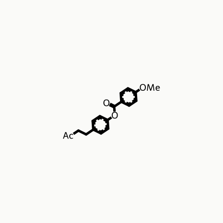 COc1ccc(C(=O)Oc2ccc(CCC(C)=O)cc2)cc1